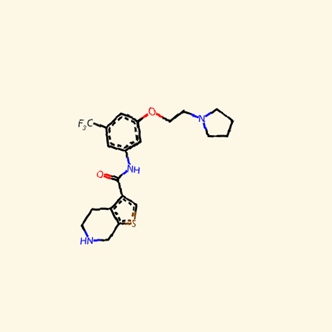 O=C(Nc1cc(OCCN2CCCC2)cc(C(F)(F)F)c1)c1csc2c1CCNC2